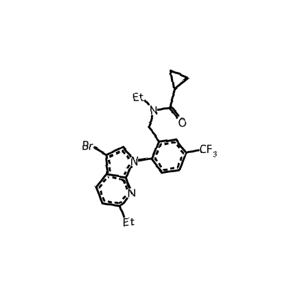 CCc1ccc2c(Br)cn(-c3ccc(C(F)(F)F)cc3CN(CC)C(=O)C3CC3)c2n1